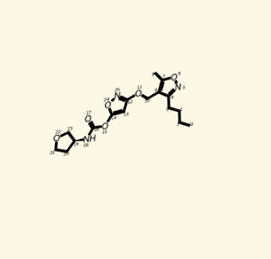 CCCCc1noc(C)c1COc1cc(OC(=O)N[C@H]2CCOC2)on1